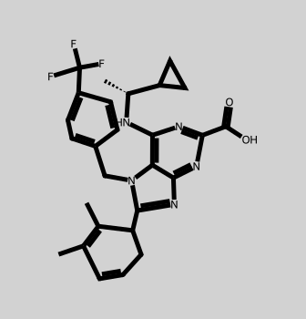 CC1=C(C)C(c2nc3nc(C(=O)O)nc(N[C@H](C)C4CC4)c3n2Cc2ccc(C(F)(F)F)cc2)CC=C1